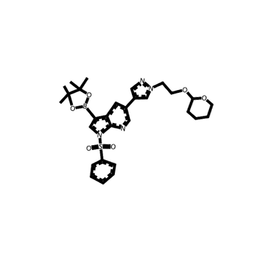 CC1(C)OB(c2cn(S(=O)(=O)c3ccccc3)c3ncc(-c4cnn(CCOC5CCCCO5)c4)cc23)OC1(C)C